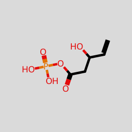 C=CC(O)CC(=O)OP(=O)(O)O